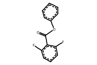 O=C(Oc1ccccc1)c1c(F)cccc1F